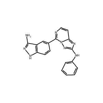 Nc1n[nH]c2ccc(-c3nccc4nc(Nc5ccccc5)nn34)cc12